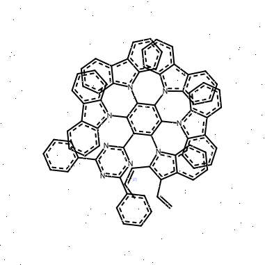 C=Cc1c(/C=C\C)n(-c2c(-c3nc(-c4ccccc4)nc(-c4ccccc4)n3)c(-n3c4ccccc4c4ccccc43)c(-n3c4ccccc4c4ccccc43)c(-n3c4ccccc4c4ccccc43)c2-n2c3ccccc3c3ccccc32)c2ccccc12